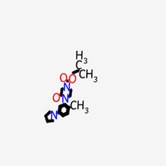 Cc1ccc(N2CCCC2)cc1N1CCN(C(=O)OCC(C)C)CC1=O